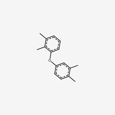 Cc1ccc(Oc2cccc(C)c2C)cc1C